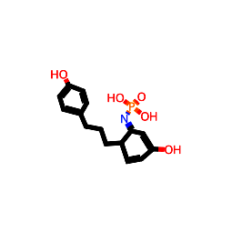 O=P(O)(O)N=C1C=C(O)C=CC1CCCc1ccc(O)cc1